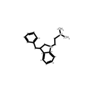 CN(C)CCN1CC(Cc2ccccc2)c2ccccc21